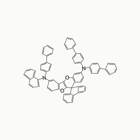 c1ccc(-c2ccc(N(c3ccc(-c4ccccc4)cc3)c3ccc4c(c3)Oc3c(oc5ccc(N(c6ccc(-c7ccccc7)cc6)c6cccc7ccccc67)cc35)C43c4ccccc4-c4ccccc43)cc2)cc1